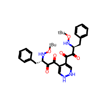 CC(C)(C)ON[C@@H](Cc1ccccc1)C(=O)C(=O)C1=CNNC=C1C(=O)C(=O)[C@H](Cc1ccccc1)NOC(C)(C)C